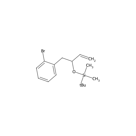 C=CC(Cc1ccccc1Br)O[Si](C)(C)C(C)(C)C